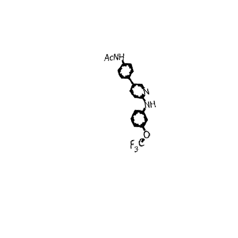 CC(=O)Nc1ccc(-c2ccc(Nc3cccc(OC(F)(F)F)c3)nc2)cc1